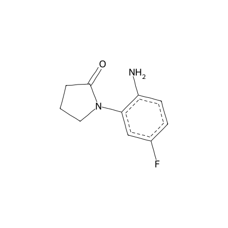 Nc1ccc(F)cc1N1CCCC1=O